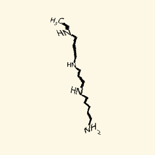 CCNCCCNCCCNCCCCCN